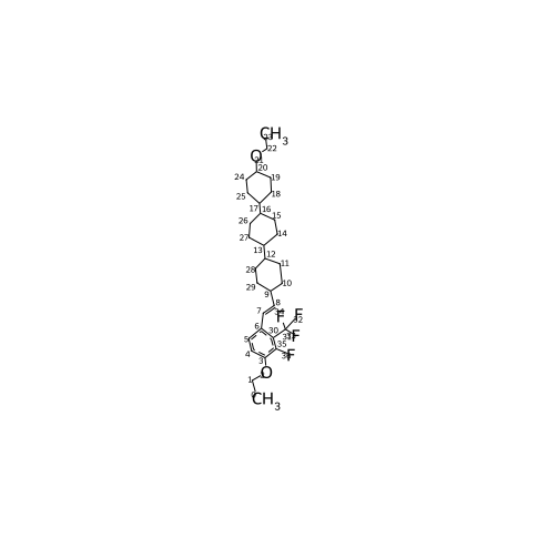 CCOc1ccc(/C=C/C2CCC(C3CCC(C4CCC(OCC)CC4)CC3)CC2)c(C(F)(F)F)c1F